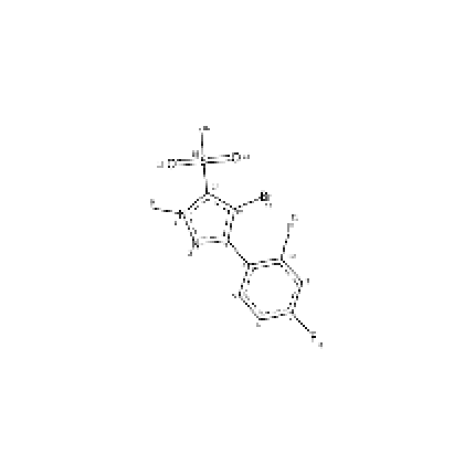 Cn1nc(-c2ccc(F)cc2F)c(Br)c1S(C)(=O)=O